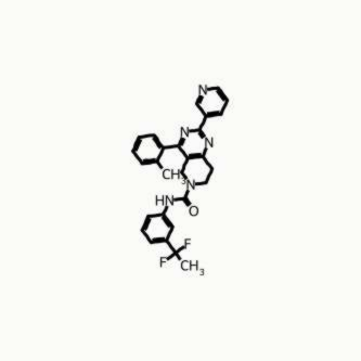 Cc1ccccc1-c1nc(-c2cccnc2)nc2c1CN(C(=O)Nc1cccc(C(C)(F)F)c1)CC2